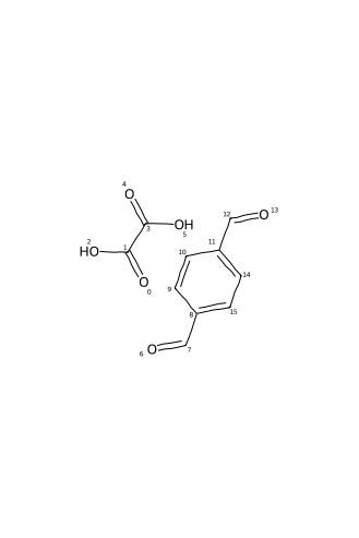 O=C(O)C(=O)O.O=Cc1ccc(C=O)cc1